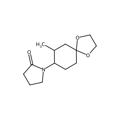 CC1CC2(CCC1N1CCCC1=O)OCCO2